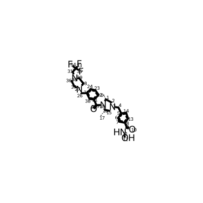 C[C@@H]1CN(Cc2ccc(C(=O)NO)cc2)C[C@H](C)N1C(=O)c1cccc(CN2CCN(CC(F)(F)F)CC2)c1